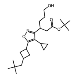 CC(C)(C)CC1CC(c2onc(C(CCCO)CC(=O)OC(C)(C)C)c2C2CC2)C1